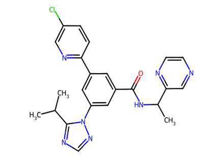 CC(C)c1ncnn1-c1cc(C(=O)NC(C)c2cnccn2)cc(-c2ccc(Cl)cn2)c1